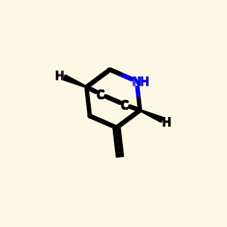 C=C1C[C@H]2CC[C@@H]1NC2